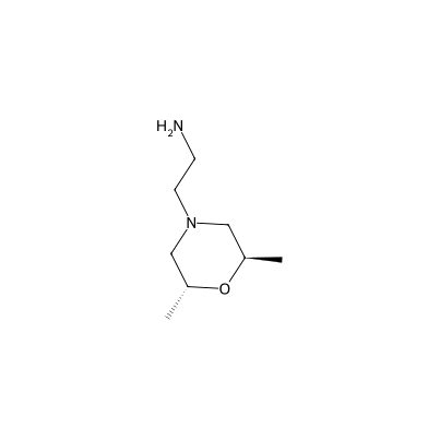 C[C@@H]1CN(CCN)C[C@@H](C)O1